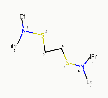 CCN(SCCSN(CC)C(C)C)C(C)C